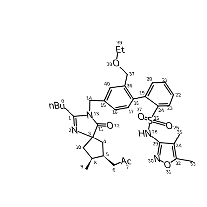 CCCCC1=NC2(C[C@@H](CC(C)=O)[C@@H](C)C2)C(=O)N1Cc1ccc(-c2ccccc2S(=O)(=O)Nc2noc(C)c2C)c(COCC)c1